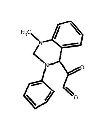 CN1CN(c2ccccc2)C(C(=O)C=O)c2ccccc21